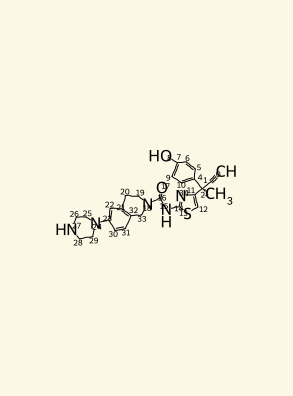 C#C[C@@](C)(c1ccc(O)cc1)c1csc(NC(=O)N2CCc3cc(N4CCNCC4)ccc3C2)n1